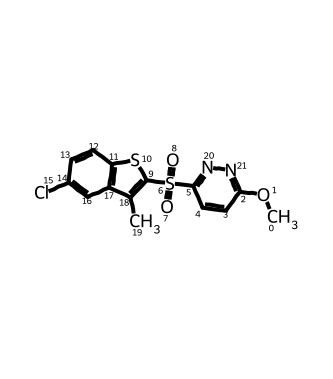 COc1ccc(S(=O)(=O)c2sc3ccc(Cl)cc3c2C)nn1